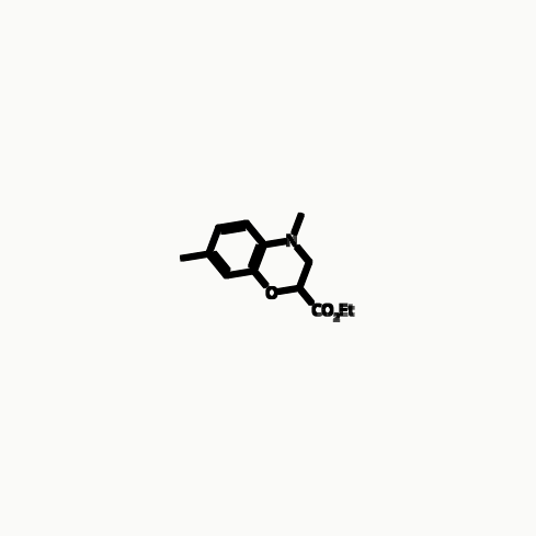 CCOC(=O)C1CN(C)c2ccc(C)cc2O1